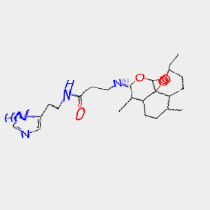 CC1CCC2C(C)/C(=N\CCC(=O)NCCc3cnc[nH]3)OC3OC4(C)CCC1C32OO4